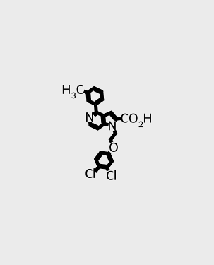 Cc1cccc(-c2nccc3c2cc(C(=O)O)n3CCOc2ccc(Cl)c(Cl)c2)c1